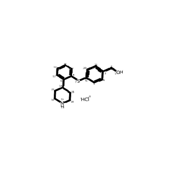 Cl.OCc1ccc(Sc2ccccc2C2CCNCC2)cc1